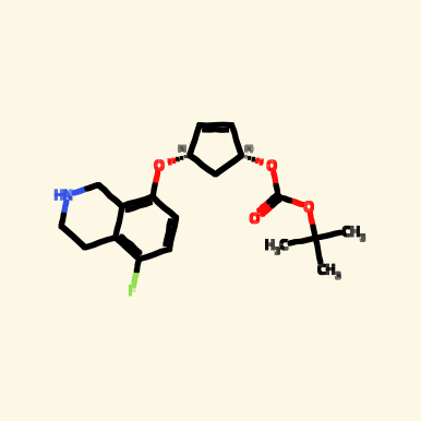 CC(C)(C)OC(=O)O[C@H]1C=C[C@@H](Oc2ccc(F)c3c2CNCC3)C1